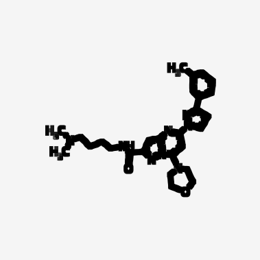 Cc1cccc(-c2ccn(-c3cc(N4CCOCC4)n4nc(C(=O)NCCCCN(C)C)cc4n3)n2)c1